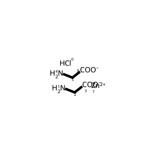 Cl.NCC(=O)[O-].NCC(=O)[O-].[Zn+2]